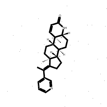 C/C(=C1/CC[C@H]2[C@@H]3CC[C@H]4NC(=O)C=C[C@]4(C)[C@H]3CC[C@]12C)c1cccnc1